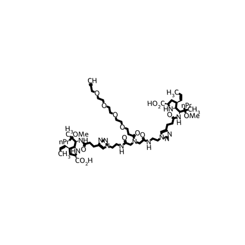 C#CCOCCOCCOCCOCCC(=O)N(CC(=O)NCCn1cc(CCC(=O)N[C@H]([C@@H]2N[C@@H](C(=O)O)C[C@H]2/C=C\C)C(C)(CCC)OC)nn1)CC(=O)NCCn1cc(CCC(=O)N[C@H]([C@@H]2N[C@@H](C(=O)O)C[C@H]2/C=C\C)C(C)(CCC)OC)nn1